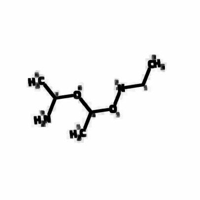 CC[N]OC(C)OC(C)N